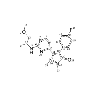 COCC(C)Nc1nccc(-c2c(-c3ccc(F)cc3)c(=O)n(C)n2C)n1